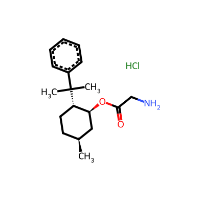 C[C@H]1CC[C@H](C(C)(C)c2ccccc2)[C@@H](OC(=O)CN)C1.Cl